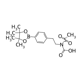 CC1(C)OB(c2ccc(CCN(C(=O)O)S(C)(=O)=O)cc2)OC1(C)C